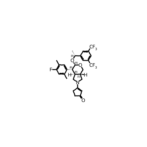 Cc1cc([C@@H]2[C@@H](O[C@H](C)c3cc(C(F)(F)F)cc(C(F)(F)F)c3)OC[C@@H]3CN(C4=CC(=O)CC4)C[C@H]32)c(C)cc1F